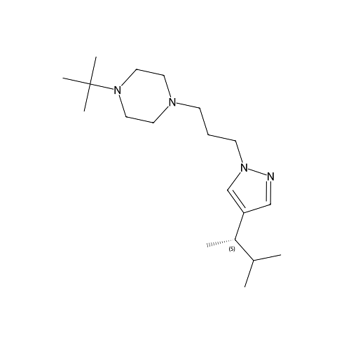 CC(C)[C@H](C)c1cnn(CCCN2CCN(C(C)(C)C)CC2)c1